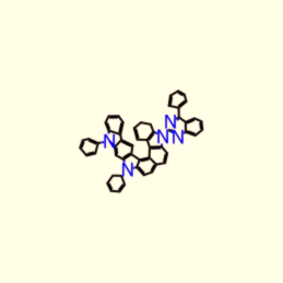 C1=CCC(n2c3cc4c(cc3c3c5c(ccc6c5c5c(n6-c6nc(-c7ccccc7)c7ccccc7n6)CCC=C5)ccc32)c2ccccc2n4-c2ccccc2)C=C1